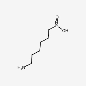 NCCCCCC[PH](=O)O